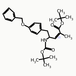 C/C(=C/C(Cc1ccc(OCc2ccccc2)cc1)NC(=O)OC(C)(C)C)C(=O)OC(C)(C)C